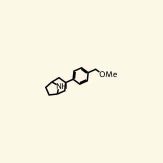 COCc1ccc(C2CC3CCC(C2)N3)cc1